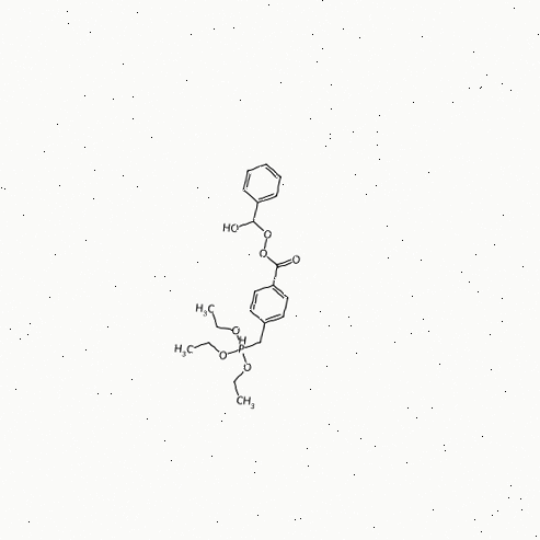 CCO[PH](Cc1ccc(C(=O)OOC(O)c2ccccc2)cc1)(OCC)OCC